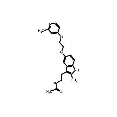 CC(=O)NCCc1c(C)[nH]c2ccc(OCCOc3ccnc(C)c3)cc12